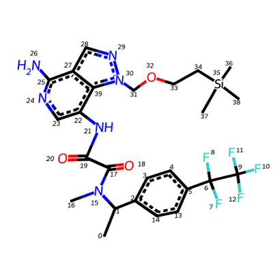 CC(c1ccc(C(F)(F)C(F)(F)F)cc1)N(C)C(=O)C(=O)Nc1cnc(N)c2cnn(COCC[Si](C)(C)C)c12